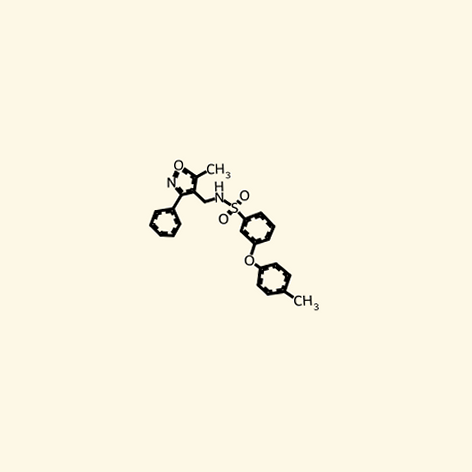 Cc1ccc(Oc2cccc(S(=O)(=O)NCc3c(-c4ccccc4)noc3C)c2)cc1